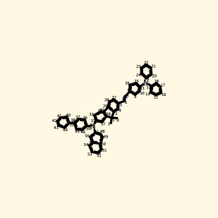 CC1(C)c2cc(/C=C/c3ccc(N(c4ccccc4)c4ccccc4)cc3)ccc2-c2ccc(N(c3ccc(-c4ccccc4)cc3)c3ccc4ccccc4c3)cc21